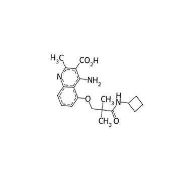 Cc1nc2cccc(OCC(C)(C)C(=O)NC3CCC3)c2c(N)c1C(=O)O